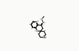 CO/N=C1/CC2(CCNCC2)Oc2cccnc21